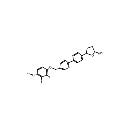 CCCC1CCC(c2ccc(-c3ccc(COc4ccc(OCC)c(F)c4F)cc3)cc2)O1